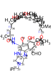 CO[C@H]1/C=C/O[C@@H](C)Oc2c(C)c(O)c3c(c2C=O)C2=NC4(CCN(CC(C)C)CC4)NC2=C(NC(=O)/C(C)=C\C=C\[C@H](C)[C@H](O)[C@@H](C)[C@@H](O)[C@@H](C)[C@H](OC(C)=O)[C@@H]1C)C3=O